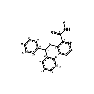 CNC(=O)c1ncccc1CC(c1cccnc1)c1cccnc1